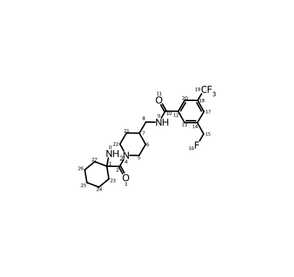 NC1(C(=O)N2CCC(CNC(=O)c3cc(CF)cc(C(F)(F)F)c3)CC2)CCCCC1